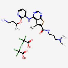 Cc1c(C(=O)NCCCN(C)C)sc2ncnc(Nc3cccnc3OC(C)CCN)c12.O=C(O)C(F)(F)F.O=C(O)C(F)(F)F